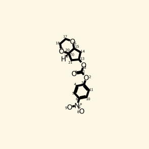 O=C(Oc1ccc([N+](=O)[O-])cc1)OC1CC2OCCO[C@H]2C1